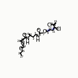 C=C(CCNC(=O)CO/C=C/C=C(/Cl)C(=C)Cl)NC(=O)C1CN1SOCCC